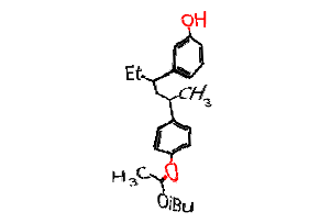 CCC(CC(C)c1ccc(OC(C)OCC(C)C)cc1)c1cccc(O)c1